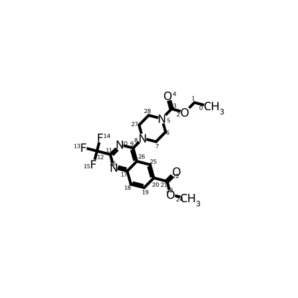 CCOC(=O)N1CCN(c2nc(C(F)(F)F)nc3ccc(C(=O)OC)cc23)CC1